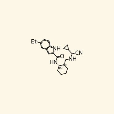 CCc1ccc2[nH]c(C(=O)N[C@H]3CCCC[C@@H]3CNC(C#N)C3CC3)cc2c1